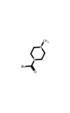 CCC(C)C(=O)N1CCN(C)CC1